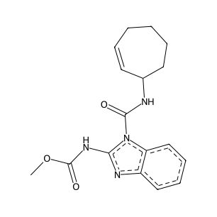 COC(=O)Nc1nc2ccccc2n1C(=O)NC1C=CCCCC1